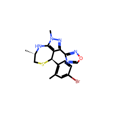 Cc1cc(Br)ccc1[C@H]1SC[C@H](C)Nc2c1c(-c1ncon1)nn2C